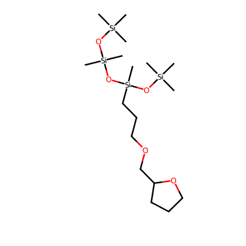 C[Si](C)(C)O[Si](C)(C)O[Si](C)(CCCOCC1CCCO1)O[Si](C)(C)C